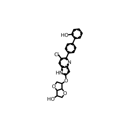 Oc1ccccc1-c1ccc(-c2nc3cc(OC4COC5C(O)COC45)[nH]c3cc2Cl)cc1